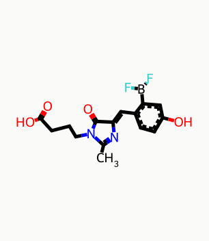 CC1=N/C(=C\c2ccc(O)cc2B(F)F)C(=O)N1CCCC(=O)O